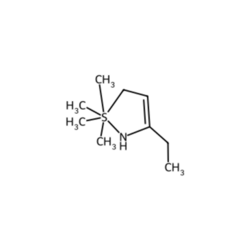 CCC1=CCS(C)(C)(C)(C)N1